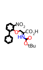 CC(C)(C)OC(=O)N[C@@H](COc1c(-c2ccccc2)cccc1[N+](=O)[O-])C(=O)O